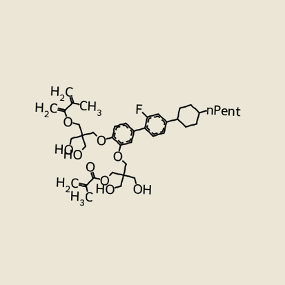 C=C(C)C(=C)OCC(CO)(CO)COc1ccc(-c2ccc(C3CCC(CCCCC)CC3)cc2F)cc1OCC(CO)(CO)COC(=O)C(=C)C